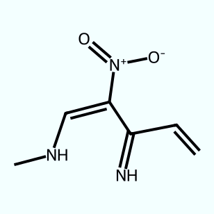 C=CC(=N)/C(=C\NC)[N+](=O)[O-]